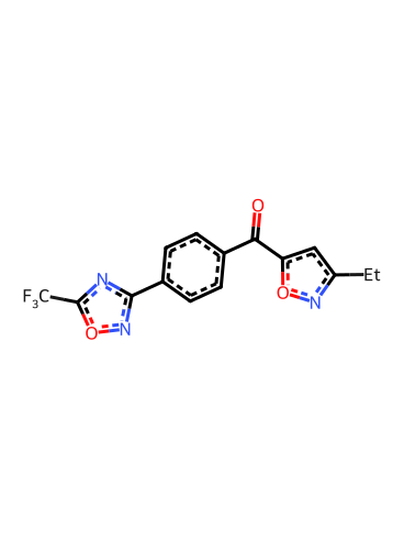 CCc1cc(C(=O)c2ccc(-c3noc(C(F)(F)F)n3)cc2)on1